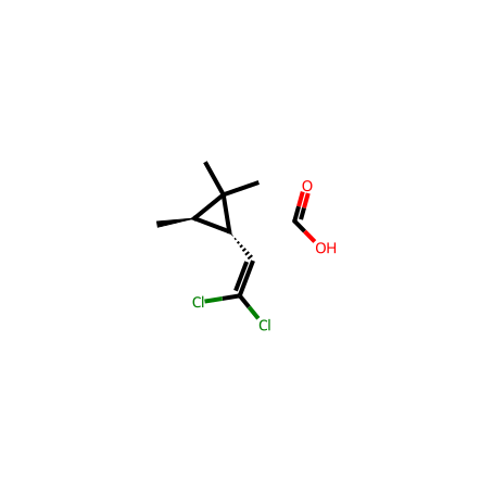 C[C@@H]1[C@@H](C=C(Cl)Cl)C1(C)C.O=CO